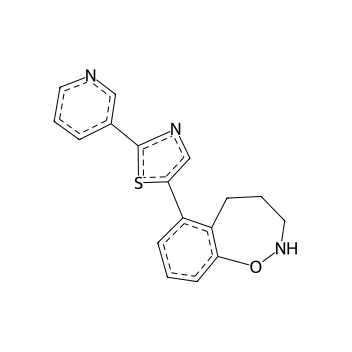 c1cncc(-c2ncc(-c3cccc4c3CCCNO4)s2)c1